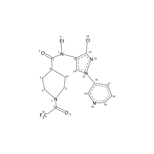 CCN(C(=O)C1CCN(C(=O)C(F)(F)F)CC1)c1cn(-c2cccnc2)nc1Cl